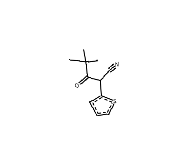 CC(C)(C)C(=O)C(C#N)c1cccs1